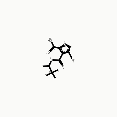 CC(OC(=O)c1c(Br)csc1C(=O)O)C(C)(C)C